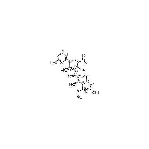 CCc1cccc(-c2cc(N(C)C)c3c(c2O)C(=O)CC(CC(CCO)C(CO)C(=O)CC(C)=O)C3)c1